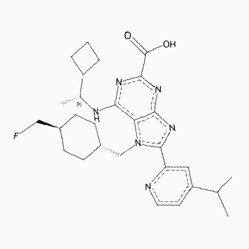 CC(C)c1ccnc(-c2nc3nc(C(=O)O)nc(N[C@H](C)C4CCC4)c3n2C[C@H]2CC[C@H](CF)CC2)c1